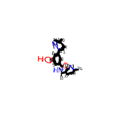 Cc1ccc(-c2cc(O)cc(C(=O)N[C@H](C)c3ccc(C)nc3)c2)nc1